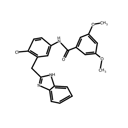 COc1cc(OC)cc(C(=O)Nc2ccc(Cl)c(Cc3nc4ccccc4[nH]3)c2)c1